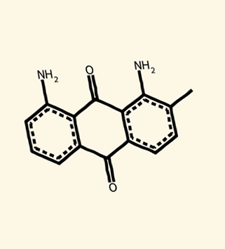 Cc1ccc2c(c1N)C(=O)c1c(N)cccc1C2=O